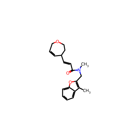 Cc1c(CN(C)C(=O)C=CC2C=CCOCC2)oc2ccccc12